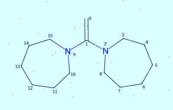 C=C(N1CCCCCC1)N1CCCCCC1